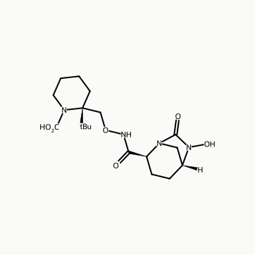 CC(C)(C)[C@]1(CONC(=O)[C@@H]2CC[C@@H]3CN2C(=O)N3O)CCCCN1C(=O)O